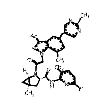 CC(=O)c1nn(CC(=O)N2[C@H](C(=O)Nc3nc(Br)ccc3C)C[C@@]3(C)C[C@@H]23)c2c(C)cc(-c3cnc(C)nc3)cc12